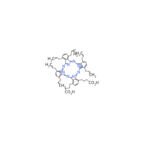 C=CCc1ccc(CC=C)c2c1-c1nc-2nc2[nH]c(nc3nc(nc4[nH]c(n1)c1c(CC=C)ccc(CC=C)c41)-c1c(CCCC(=O)O)ccc(CCCC(=O)O)c1-3)c1c(CC=C)ccc(CC=C)c21